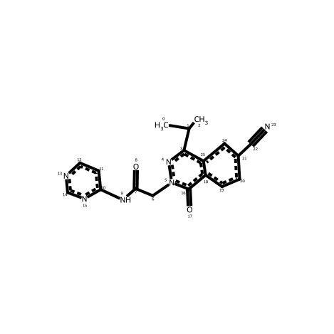 CC(C)c1nn(CC(=O)Nc2ccncn2)c(=O)c2ccc(C#N)cc12